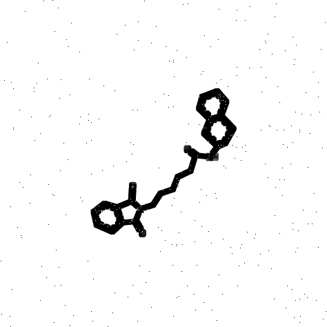 O=C(CCCCCN1C(=O)c2ccccc2C1=O)Nc1ccc2ccccc2c1